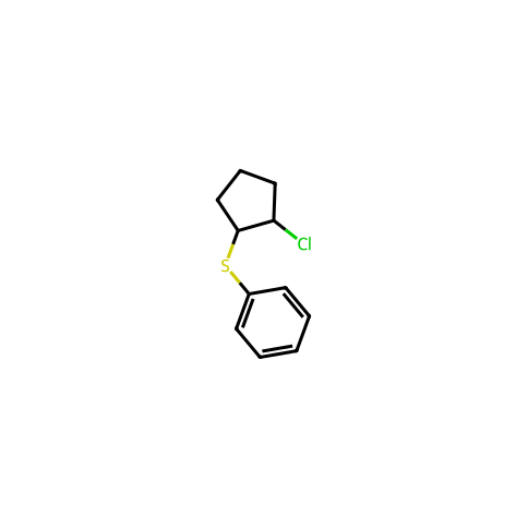 ClC1CCCC1Sc1ccccc1